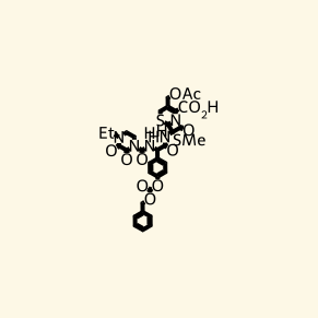 CCN1CCN(C(=O)NC(C(=O)N[C@]2(SC)C(=O)N3C(C(=O)O)=C(COC(C)=O)CS[C@@H]32)c2ccc(OC(=O)OCc3ccccc3)cc2)C(=O)C1=O